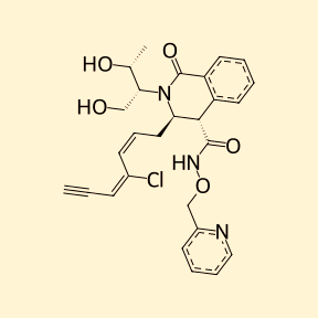 C#C/C=C(Cl)\C=C/C[C@@H]1[C@@H](C(=O)NOCc2ccccn2)c2ccccc2C(=O)N1[C@H](CO)[C@@H](C)O